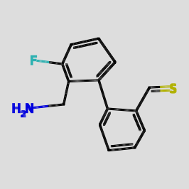 NCc1c(F)cccc1-c1ccccc1C=S